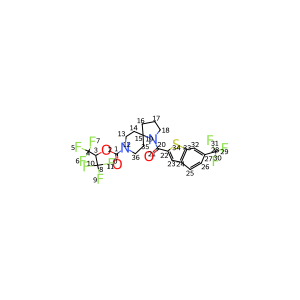 O=C(OC(C(F)(F)F)C(F)(F)F)N1CCC2(CCCN2C(=O)c2cc3ccc(C(F)(F)F)cc3s2)CC1